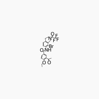 CCOc1ccc(C(=O)Nc2ccc3c(c2Br)CN(C(=O)C(F)(F)F)CC3)cc1C(C)=O